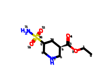 CCOC(=O)[C@@H]1CNCC(S(N)(=O)=O)C1